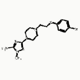 Cn1nc(N2CCN(CCOc3ccc(Br)cc3)CC2)nc1N